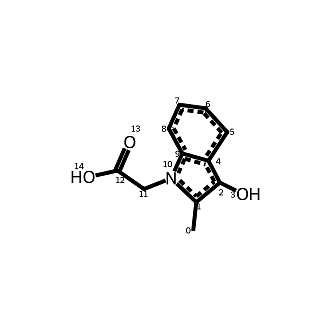 Cc1c(O)c2c[c]ccc2n1CC(=O)O